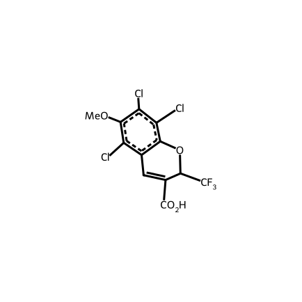 COc1c(Cl)c(Cl)c2c(c1Cl)C=C(C(=O)O)C(C(F)(F)F)O2